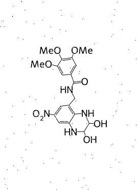 COc1cc(C(=O)NCc2cc([N+](=O)[O-])cc3c2NC(O)C(O)N3)cc(OC)c1OC